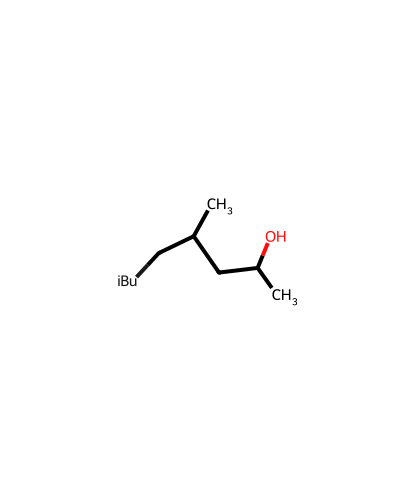 CCC(C)CC(C)CC(C)O